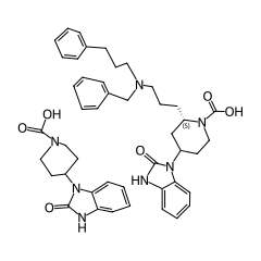 O=C(O)N1CCC(n2c(=O)[nH]c3ccccc32)CC1.O=C(O)N1CCC(n2c(=O)[nH]c3ccccc32)C[C@@H]1CCCN(CCCc1ccccc1)Cc1ccccc1